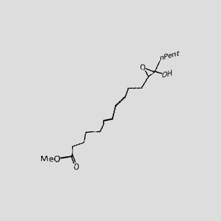 CCCCCC1(O)OC1CCCCCCCCCCC(=O)OC